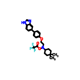 CC1(C)CCC(N(CCOc2ccc(-c3ccc4[nH]cnc4c3)cc2)OC(=O)C(F)(F)F)CC1